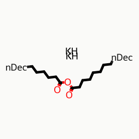 CCCCCCCCCCCCCCCCCC(=O)OC(=O)CCCCCCCCCCCCCCC.[KH].[KH]